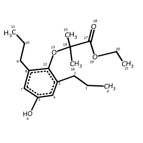 CCCc1cc(O)cc(CCC)c1OC(C)(C)C(=O)OCC